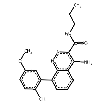 CCCNC(=O)c1nnc2c(-c3cc(OC)ccc3C)cccc2c1N